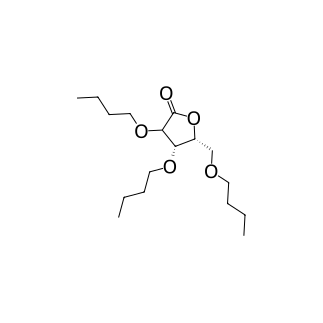 CCCCOC[C@H]1OC(=O)C(OCCCC)[C@H]1OCCCC